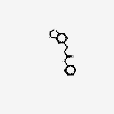 O=C(CCc1ccc2c(c1)OCO2)Nc1ccccc1